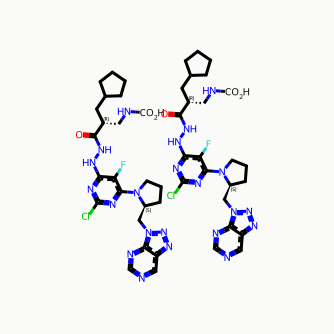 O=C(O)NC[C@@H](CC1CCCC1)C(=O)NNc1nc(Cl)nc(N2CCC[C@H]2Cn2nnc3cncnc32)c1F.O=C(O)NC[C@@H](CC1CCCC1)C(=O)NNc1nc(Cl)nc(N2CCC[C@H]2Cn2nnc3cncnc32)c1F